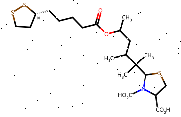 CC(CC(C)C(C)(C)C1SCC(C(=O)O)N1C(=O)O)OC(=O)CCCC[C@@H]1CCSS1